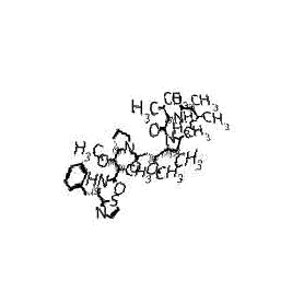 CO[C@H]([C@@H](C)C(=O)N[C@@H](Cc1ccccc1)c1nccs1)[C@@H]1CCCN1C(=O)C[C@@H](OC)[C@@H]1[C@@H](C)C(C)N1C(=O)[C@@H](NC(=O)[C@@H](C)C(C)C)C(C)C